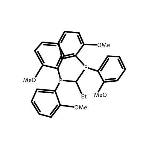 CCC(P(c1ccccc1OC)c1ccccc1OC)P(c1ccccc1OC)c1ccccc1OC